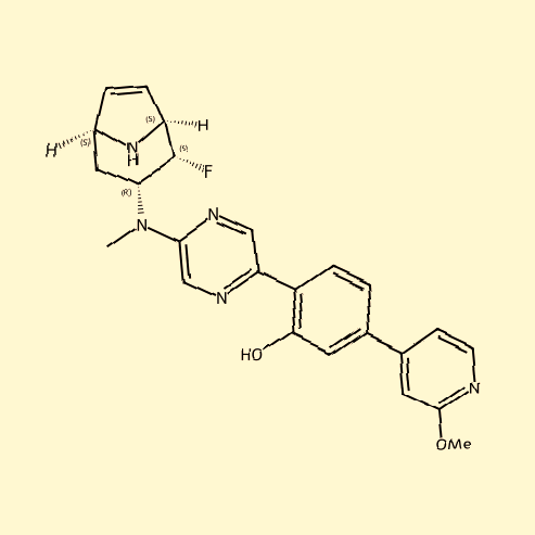 COc1cc(-c2ccc(-c3cnc(N(C)[C@@H]4C[C@H]5C=C[C@H](N5)[C@@H]4F)cn3)c(O)c2)ccn1